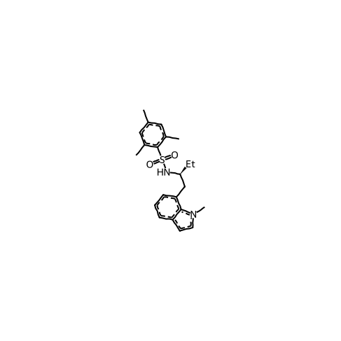 CC[C@@H](Cc1cccc2ccn(C)c12)NS(=O)(=O)c1c(C)cc(C)cc1C